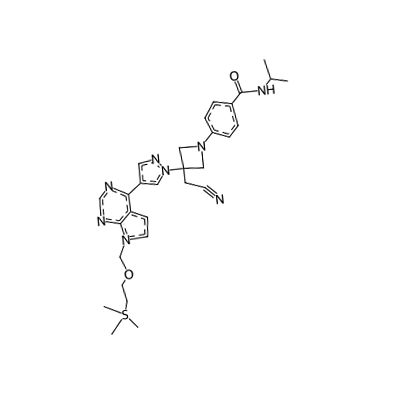 CC(C)NC(=O)c1ccc(N2CC(CC#N)(n3cc(-c4ncnc5c4ccn5COCCS(C)(C)C)cn3)C2)cc1